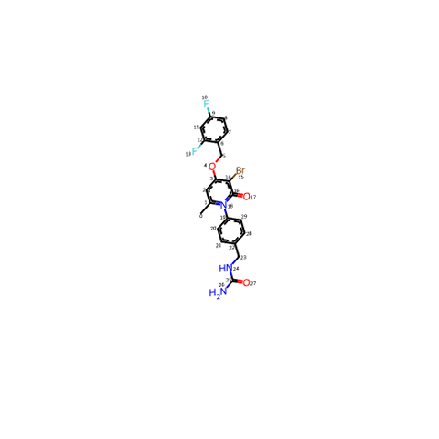 Cc1cc(OCc2ccc(F)cc2F)c(Br)c(=O)n1-c1ccc(CNC(N)=O)cc1